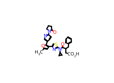 Cc1cc(-c2csc(N(C(=O)C(CC(=O)O)Cc3ccccc3)C3CC3)n2)c(-c2ccc(N3CCCC3=O)nc2)o1